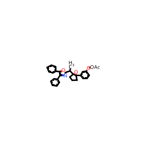 CC(=O)OOc1cccc(C23CCCC2(C(C)c2nc(-c4ccccc4)c(-c4ccccc4)o2)O3)c1